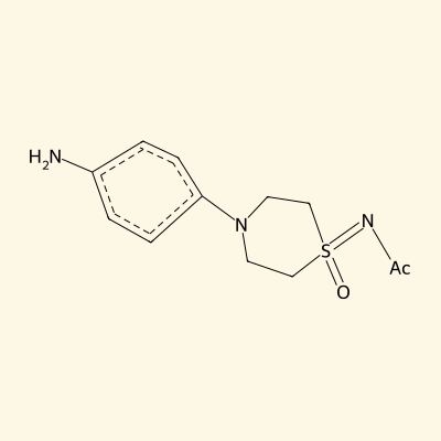 CC(=O)N=S1(=O)CCN(c2ccc(N)cc2)CC1